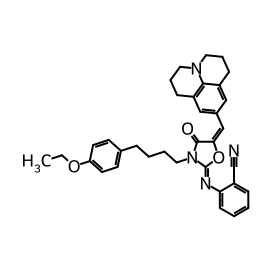 CCOc1ccc(CCCCN2C(=O)/C(=C\c3cc4c5c(c3)CCCN5CCC4)OC2=Nc2ccccc2C#N)cc1